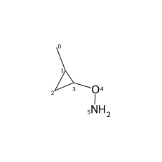 CC1CC1ON